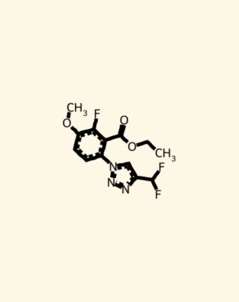 CCOC(=O)c1c(-n2cc(C(F)F)nn2)ccc(OC)c1F